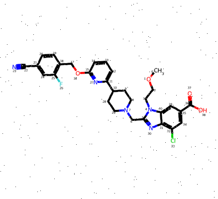 COCCn1c(CN2CCC(c3cccc(OCc4ccc(C#N)cc4F)n3)CC2)nc2c(Cl)cc(C(=O)O)cc21